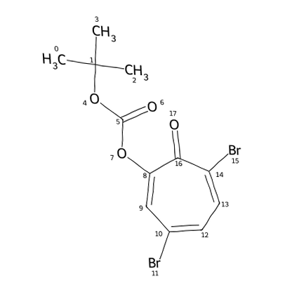 CC(C)(C)OC(=O)Oc1cc(Br)ccc(Br)c1=O